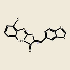 O=C1N/C(=N\c2c(Cl)cccc2Cl)S/C1=C\c1ccc2ncsc2c1